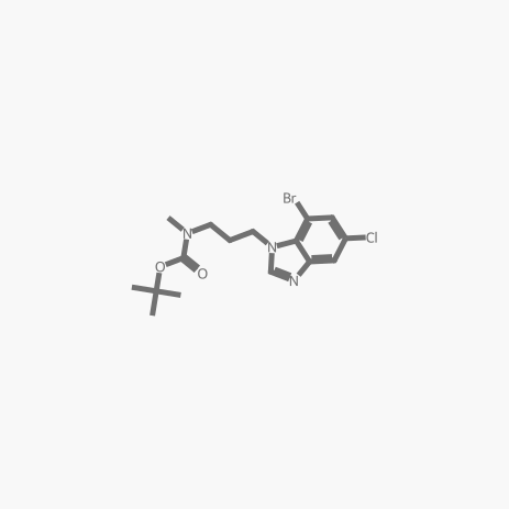 CN(CCCn1cnc2cc(Cl)cc(Br)c21)C(=O)OC(C)(C)C